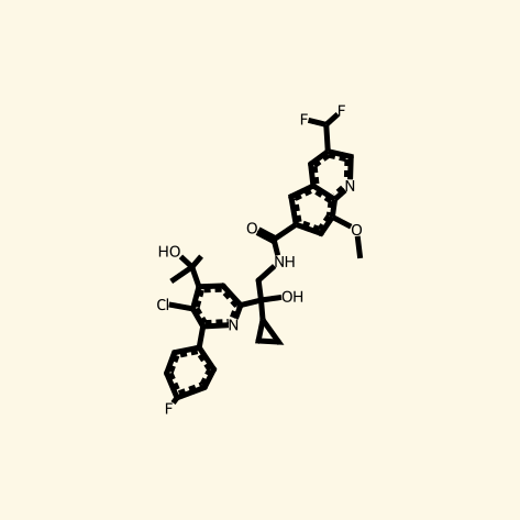 COc1cc(C(=O)NCC(O)(c2cc(C(C)(C)O)c(Cl)c(-c3ccc(F)cc3)n2)C2CC2)cc2cc(C(F)F)cnc12